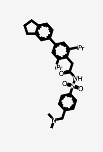 CC(C)c1cc(-c2ccc3c(c2)CCC3)cc(C(C)C)c1CC(=O)NS(=O)(=O)c1ccc(CN(C)C)cc1